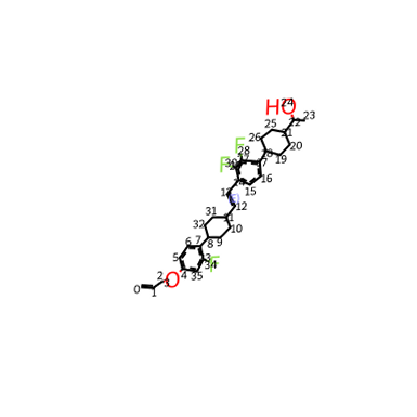 C=CCOc1ccc(C2CCC(/C=C/c3ccc(C4CCC(C(C)O)CC4)c(F)c3F)CC2)c(F)c1